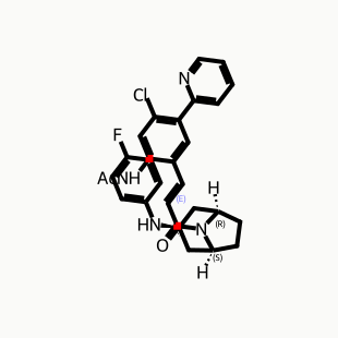 CC(=O)Nc1cc(Cl)c(-c2ccccn2)cc1/C=C/C(=O)N1[C@@H]2CC[C@H]1C[C@@H](Nc1ccc(F)cc1)C2